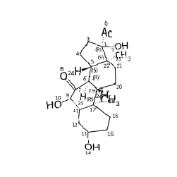 CC(=O)[C@@]1(O)CC[C@H]2[C@@H]3C(=O)C(O)C4CC(O)CC[C@]4(C)[C@H]3CC[C@@]21C